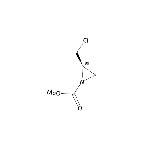 COC(=O)N1C[C@@H]1CCl